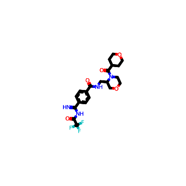 N=C(NC(=O)C(F)(F)F)c1ccc(C(=O)NCC2COCCN2C(=O)C2CCOCC2)cc1